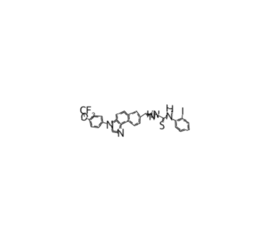 FC(F)(F)Oc1ccc(-n2cnc3c4ccc(/C=N/NC(=S)Nc5ccccc5I)cc4ccc32)cc1